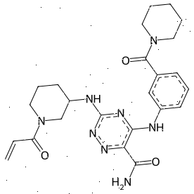 C=CC(=O)N1CCCC(Nc2nnc(C(N)=O)c(Nc3cccc(C(=O)N4CCCCC4)c3)n2)C1